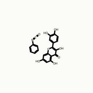 O=C=Nc1ccccc1.O=c1c(O)c(-c2ccc(O)c(O)c2)oc2cc(O)cc(O)c12